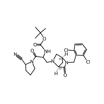 CC(C)(C)OC(=O)NC(CN1C[C@@H]2C[C@H]1C(=O)N2Cc1c(Cl)cccc1Cl)C(=O)N1CCCC1C#N